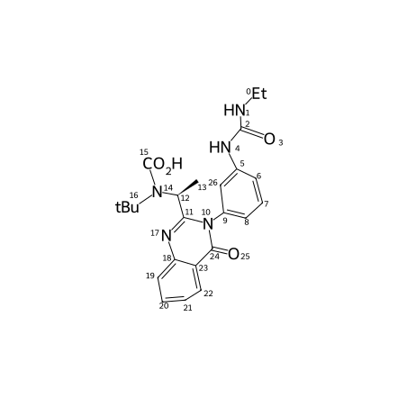 CCNC(=O)Nc1cccc(-n2c([C@H](C)N(C(=O)O)C(C)(C)C)nc3ccccc3c2=O)c1